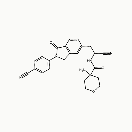 N#Cc1ccc(N2Cc3cc(CC(C#N)NC(=O)C4(N)CCOCC4)ccc3C2=O)cc1